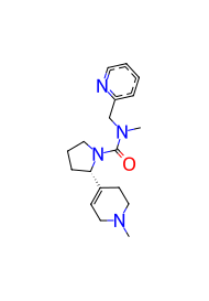 CN1CC=C([C@@H]2CCCN2C(=O)N(C)Cc2ccccn2)CC1